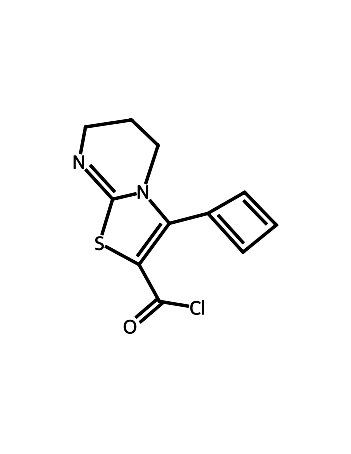 O=C(Cl)C1=C(C2=CC=C2)N2CCCN=C2S1